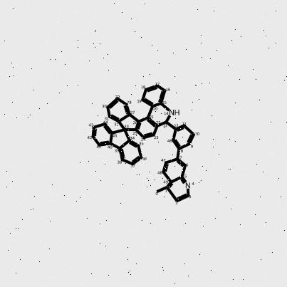 Cc1ccnc2cc(-c3cccc(C4Nc5ccccc5-c5c4ccc4c5-c5ccccc5C45c4ccccc4-c4ccccc45)c3)ccc12